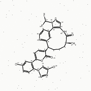 C[C@H]1CCC[C@@H](c2ccc(-c3cc(Cl)ccc3-n3cc(Cl)nn3)oc2=O)c2cc(ccn2)-c2c(cnn2C(F)F)NC1=O